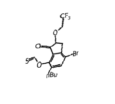 CCCCc1cc(Br)c2c(c1OC=S)C(=O)C(OCC(F)(F)F)C2